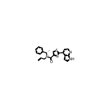 C=CCN(C(=O)c1csc(-c2ccnc3[nH]ccc23)n1)[C@@H](C)c1ccccc1